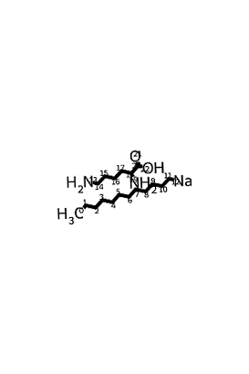 CCCCCCCCCCC[CH2][Na].NCCCCC(N)C(=O)O